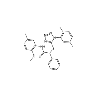 COc1ccc(C)cc1NC(=O)C(Sc1nnnn1-c1cc(C)ccc1C)c1ccccc1